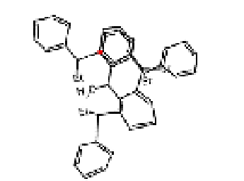 CCC(c1ccccc1)c1cccc(C(CC)c2ccccc2)c1C(C)c1c(C(CC)c2ccccc2)cccc1C(CC)c1ccccc1